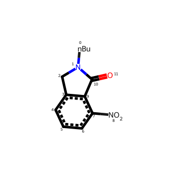 CCCCN1Cc2cccc([N+](=O)[O-])c2C1=O